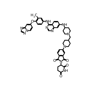 Cc1cc(Nc2ncnc3cc(NC4CCN(CC5CCN(c6ccc7c(c6)C(=O)N(C6CCC(=O)NC6=O)C7=O)CC5)CC4)ccc23)ccc1Oc1ccn2ncnc2c1